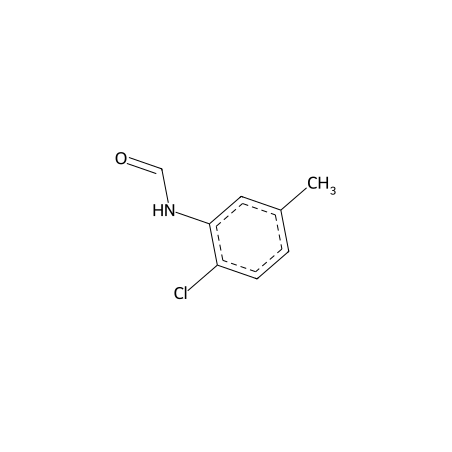 Cc1ccc(Cl)c(NC=O)c1